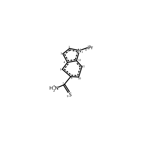 CC(C)n1ccc2cc(C(N)=S)ccc21